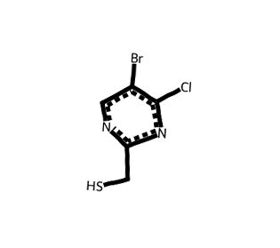 SCc1ncc(Br)c(Cl)n1